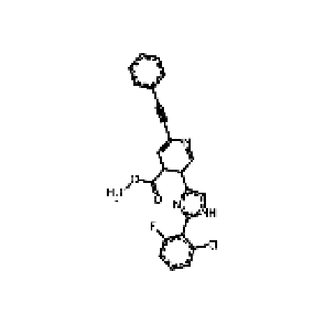 COC(=O)C1C=C(C#Cc2ccccc2)N=CC1c1c[nH]c(-c2c(F)cccc2Cl)n1